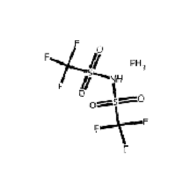 O=S(=O)(NS(=O)(=O)C(F)(F)F)C(F)(F)F.P